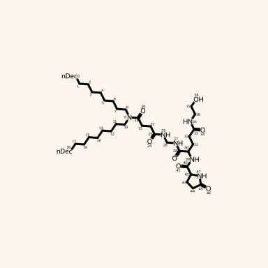 CCCCCCCCCCCCCCCCCCN(CCCCCCCCCCCCCCCCCC)C(=O)CCC(=O)NCNC(=O)C(CCC(=O)NCCO)NC(=O)C1CCC(=O)N1